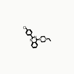 CCN1CCN(c2nc(-c3ccc(Cl)cc3)nc3ccccc23)CC1